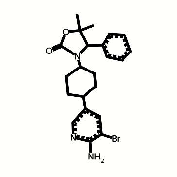 CC1(C)OC(=O)N(C2CCC(c3cnc(N)c(Br)c3)CC2)C1c1ccccc1